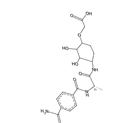 C[C@H](NC(=O)c1ccc(C(=N)N)cc1)C(=O)NC1CCC(OCC(=O)O)C(O)C1O